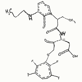 CCCNc1cccn(C(CC)C(=O)N[C@@H](CC(=O)O)C(=O)COc2c(F)c(F)cc(F)c2F)c1=O